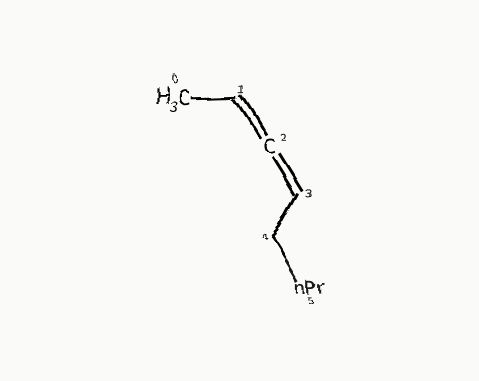 CC=C=CCCCC